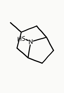 CC1CC2CCC(C1)N2S